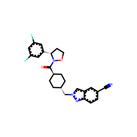 N#Cc1ccc2nn(C[C@H]3CC[C@H](C(=O)N4OCC[C@H]4c4cc(F)cc(F)c4)CC3)cc2c1